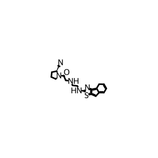 N#C[C@@H]1CCCN1C(=O)CNCCNc1nc2c(s1)=CC1=CC=CCC=21